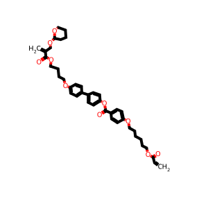 C=CC(=O)OCCCCCCOc1ccc(C(=O)Oc2ccc(-c3ccc(OCCCCOC(=O)C(=C)COC4CCCCO4)cc3)cc2)cc1